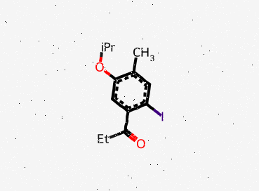 CCC(=O)c1cc(OC(C)C)c(C)cc1I